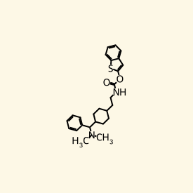 CN(C)C(c1ccccc1)C1CCC(CCNC(=O)Oc2cc3ccccc3s2)CC1